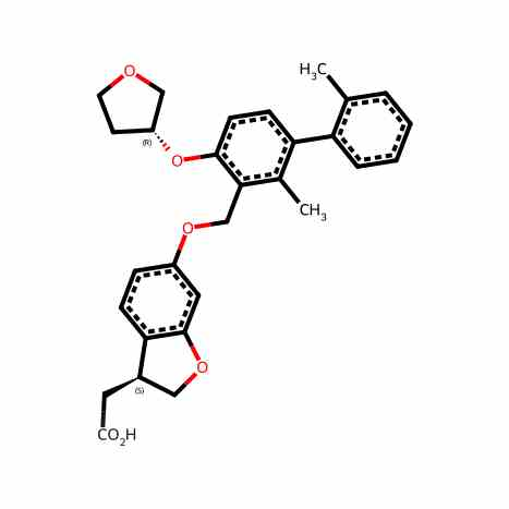 Cc1ccccc1-c1ccc(O[C@@H]2CCOC2)c(COc2ccc3c(c2)OC[C@H]3CC(=O)O)c1C